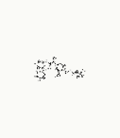 COc1cc(C(=O)N2CCC3(c4ccccn4)OCOC3C2)ccc1OCCOC(F)(F)F